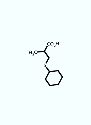 CC(CSC1CCCCC1)C(=O)O